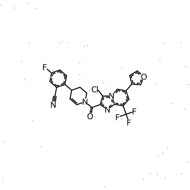 N#Cc1cc(F)ccc1C1C=CN(C(=O)c2nc3c(C(F)(F)F)cc(-c4ccoc4)cn3c2Cl)CC1